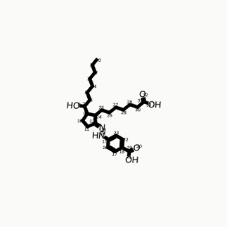 CCCCCCCC(O)C1CCC(=NNc2ccc(C(=O)O)cc2)C1CCCCCCC(=O)O